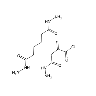 C=C(CC(=O)NN)C(=O)Cl.NNC(=O)CCCCC(=O)NN